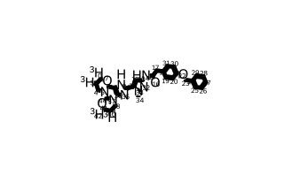 [3H]CC([3H])Cn1c(=O)c2[nH]c(-c3cc(NC(=O)Cc4ccc(OCc5ccccc5)cc4)nn3C)nc2n(CC([3H])C[3H])c1=O